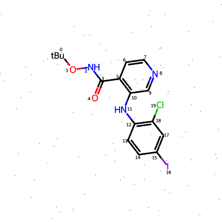 CC(C)(C)ONC(=O)c1ccncc1Nc1ccc(I)cc1Cl